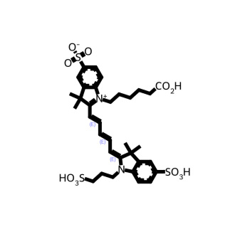 CC1(C)C(/C=C/C=C/C=C2/N(CCCS(=O)(=O)O)c3ccc(S(=O)(=O)O)cc3C2(C)C)=[N+](CCCCCC(=O)O)c2ccc(S(=O)(=O)[O-])cc21